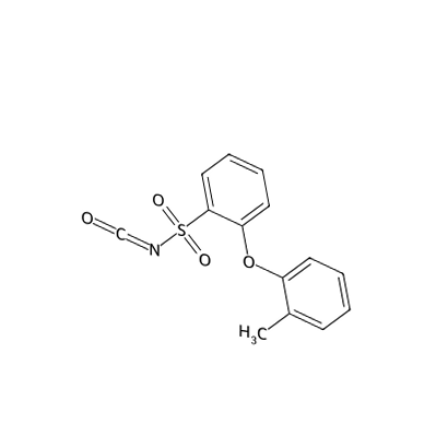 Cc1ccccc1Oc1ccccc1S(=O)(=O)N=C=O